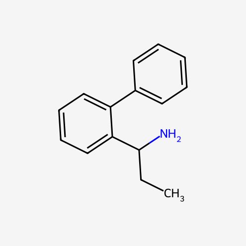 CCC(N)c1ccccc1-c1ccccc1